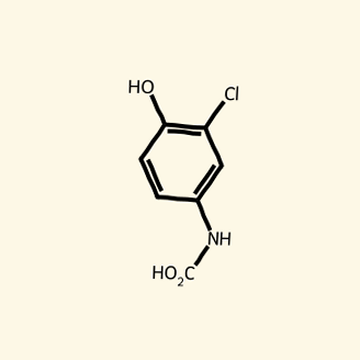 O=C(O)Nc1ccc(O)c(Cl)c1